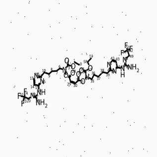 CCOC(=O)N(CCCCCc1nccc(NC(N)=NCC(F)(F)F)n1)OC(=O)/C=C\C(=O)ON(CCCCCc1nccc(NC(N)=NCC(F)(F)F)n1)C(=O)OCC